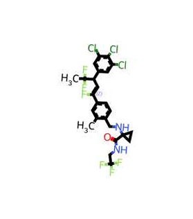 Cc1cc(/C(F)=C/C(c2cc(Cl)c(Cl)c(Cl)c2)C(C)(F)F)ccc1CNC1(C(=O)NCC(F)(F)F)CC1